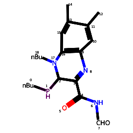 CCCCPC1C(C(=O)NC=O)=Nc2cc(C)c(C)cc2N1CCCC